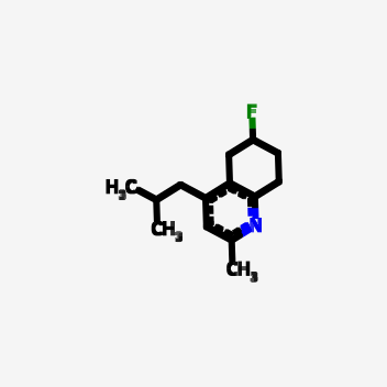 Cc1cc(CC(C)C)c2c(n1)CCC(F)C2